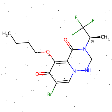 CCCCOc1c2n(cc(Br)c1=O)NCN([C@H](C)C(F)(F)F)C2=O